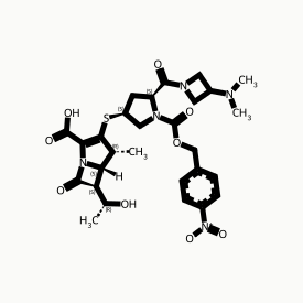 C[C@@H](O)[C@H]1C(=O)N2C(C(=O)O)=C(S[C@H]3C[C@@H](C(=O)N4CC(N(C)C)C4)N(C(=O)OCc4ccc([N+](=O)[O-])cc4)C3)[C@H](C)[C@H]12